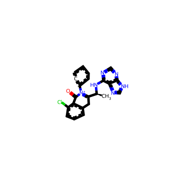 C[C@H](Nc1ncnc2[nH]cnc12)C1=[N+](c2ccccc2)C(=O)c2c(Cl)cccc2C1